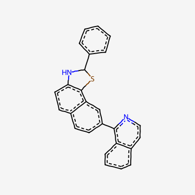 c1ccc(C2Nc3ccc4ccc(-c5nccc6ccccc56)cc4c3S2)cc1